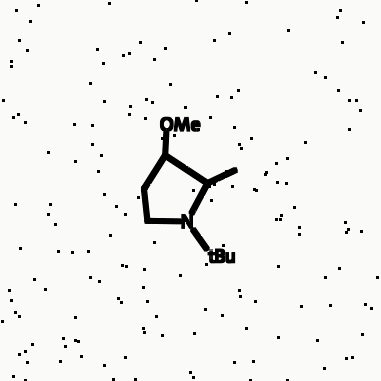 COC1CCN(C(C)(C)C)C1C